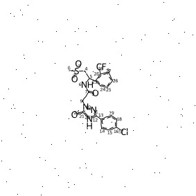 CS(=O)(=O)CC(NC(=O)Cn1nc(-c2ccc(Cl)cc2)[nH]c1=O)c1ccccc1C(F)(F)F